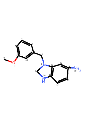 COc1cccc(CN2CNc3ccc(N)cc32)c1